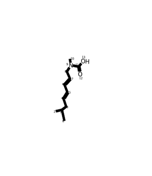 CC(C)C/C=C/C=C/CN(C)C(=O)O